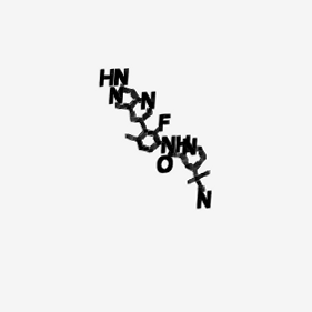 CNc1cc2ncc(-c3c(C)ccc(NC(=O)c4cc(C(C)(C)C#N)ccn4)c3F)cc2cn1